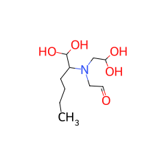 CCCCC(C(O)O)N(CC=O)CC(O)O